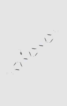 N#C/C(=C\c1ccc(/C=C/c2ccc(N)cc2)cc1)c1ccc(N)cc1